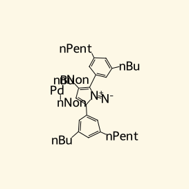 CCCCCCCC[CH2][Pd][CH2]CCCCCCCC.CCCCCc1cc(CCCC)cc(C2=CC(CCCC)=C(c3cc(CCCC)cc(CCCCC)c3)[N+]2=[N-])c1